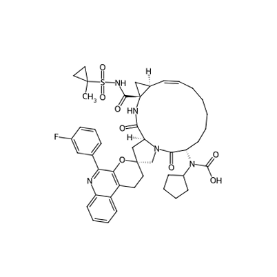 CC1(S(=O)(=O)NC(=O)[C@@]23C[C@H]2/C=C\CCCCC[C@H](N(C(=O)O)C2CCCC2)C(=O)N2C[C@@]4(CCc5c(c(-c6cccc(F)c6)nc6ccccc56)O4)C[C@H]2C(=O)N3)CC1